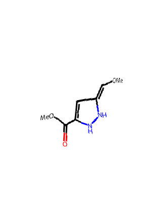 COC=C1C=C(C(=O)OC)NN1